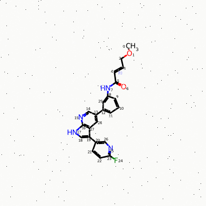 COC/C=C/C(=O)Nc1cccc(-c2cnc3[nH]cc(-c4ccc(F)nc4)c3c2)c1